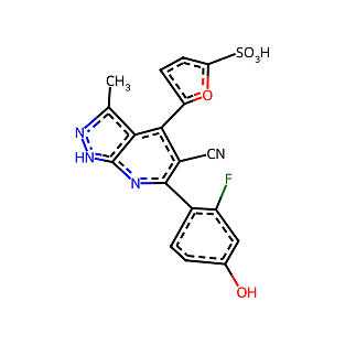 Cc1n[nH]c2nc(-c3ccc(O)cc3F)c(C#N)c(-c3ccc(S(=O)(=O)O)o3)c12